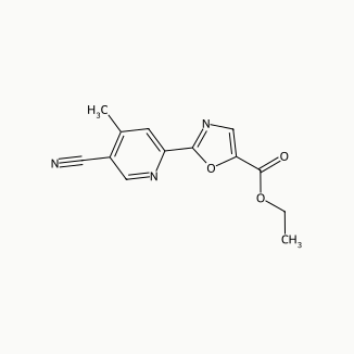 CCOC(=O)c1cnc(-c2cc(C)c(C#N)cn2)o1